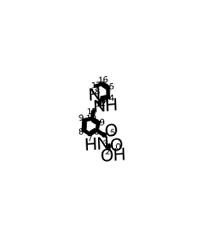 O=C(O)NC(=O)c1cccc(CNc2ccccn2)c1